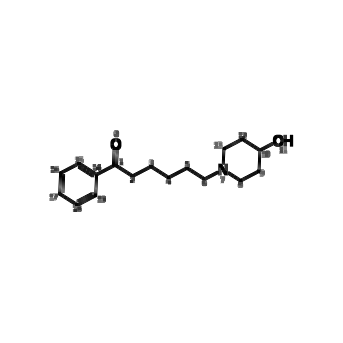 O=C(CCCCCN1CCC(O)CC1)c1ccccc1